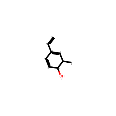 C=CC1=CC(C)[C](O)C=C1